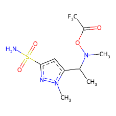 CC(c1cc(S(N)(=O)=O)nn1C)N(C)OC(=O)C(F)(F)F